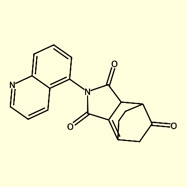 O=C1CC2=C3C(=O)N(c4cccc5ncccc45)C(=O)C3C1CC2